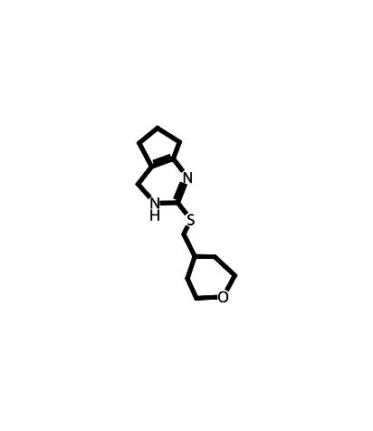 C1CC2=C(C1)N=C(SCC1CCOCC1)NC2